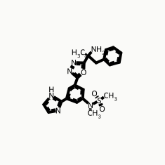 CN(c1cc(-c2ncc[nH]2)cc(-c2nnc([C@](C)(N)Cc3ccccc3)o2)c1)S(C)(=O)=O